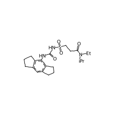 CCN(C(=O)CCS(=O)(=O)NC(=O)Nc1c2c(cc3c1CCC3)CCC2)C(C)C